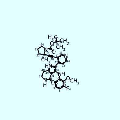 COc1c(F)cccc1Nc1c(-c2ccncc2C#C[C@@]2(C)CCCN2C(=O)OC(C)(C)C)[nH]c2c1C(=O)NCC2